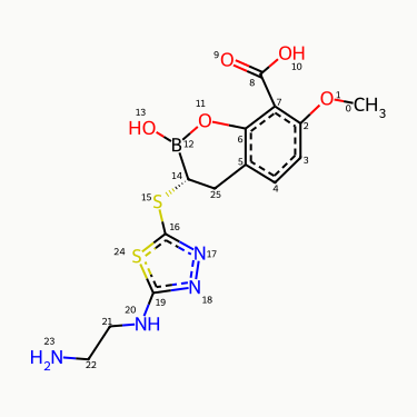 COc1ccc2c(c1C(=O)O)OB(O)[C@@H](Sc1nnc(NCCN)s1)C2